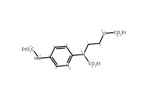 CCOC(=O)Nc1ccc(N(CCOC(=O)OCC)C(=O)OCC)nc1